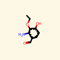 CCOc1c(O)ccc(C=O)c1N